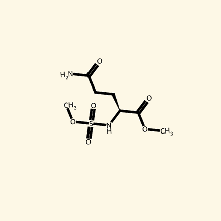 COC(=O)[C@H](CCC(N)=O)NS(=O)(=O)OC